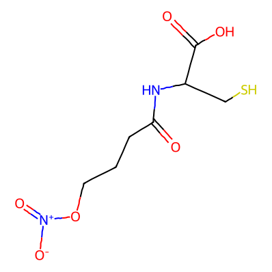 O=C(CCCO[N+](=O)[O-])NC(CS)C(=O)O